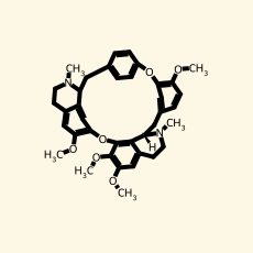 COc1ccc2cc1Oc1ccc(cc1)CC1c3cc(c(OC)cc3CCN1C)Oc1c(OC)c(OC)cc3c1[C@H](C2)N(C)CC3